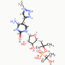 CCC(C)(C[C@H]1O[C@@H](n2cc(-c3cn(C)nn3)c(N)nc2=O)[C@@H](O)C1O)OP(=O)(O)C(C)(O)CC